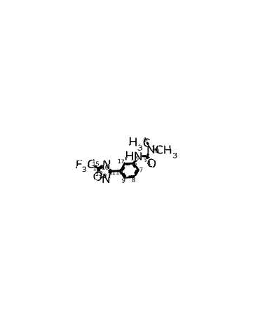 CN(C)C(=O)Nc1cccc(-c2noc(C(F)(F)F)n2)c1